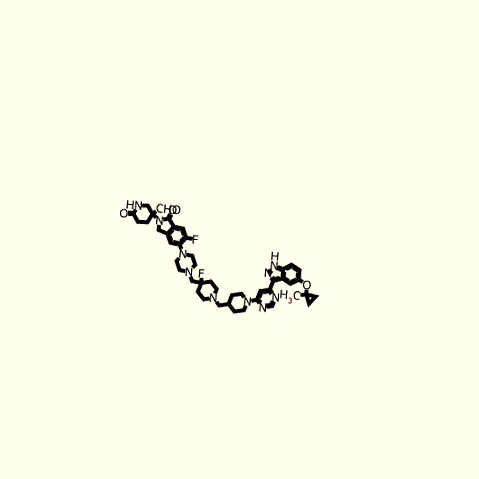 CC1(Oc2ccc3[nH]nc(-c4cc(N5CCC(CN6CCC(F)(CN7CCN(c8cc9c(cc8F)C(=O)N(C8(C=O)CCC(=O)NC8)C9)CC7)CC6)CC5)ncn4)c3c2)CC1